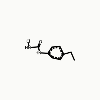 CCc1ccc(NC(=O)NCl)cc1